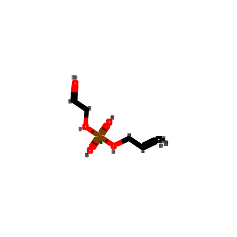 C=CCOS(=O)(=O)OCC=O